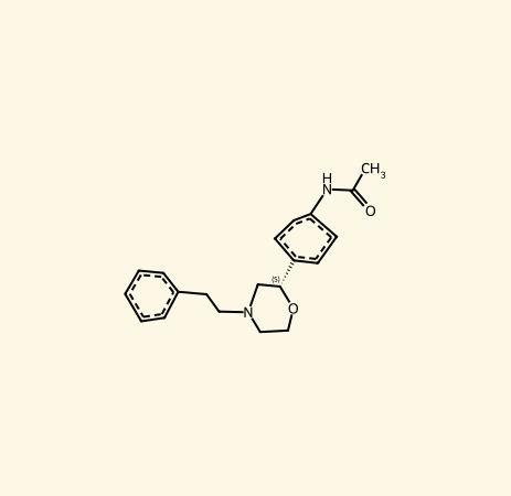 CC(=O)Nc1ccc([C@H]2CN(CCc3ccccc3)CCO2)cc1